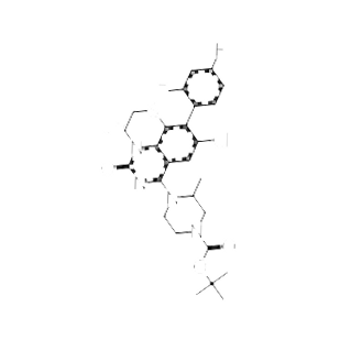 CC1CN(C(=O)OC(C)(C)C)CCN1c1nc(=O)n2c3c(c(-c4ccc(F)cc4F)c(Cl)cc13)SC[C@H]2C